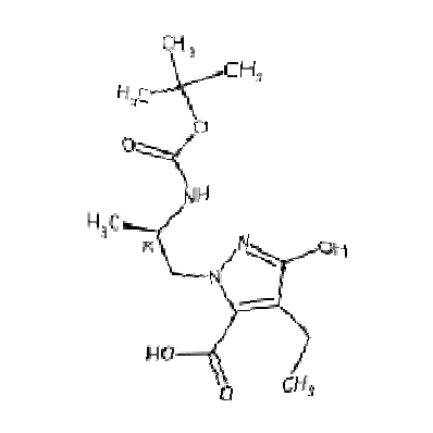 CCc1c(O)nn(C[C@@H](C)NC(=O)OC(C)(C)C)c1C(=O)O